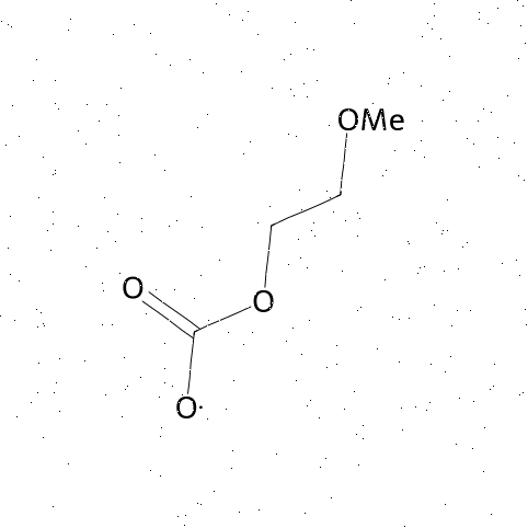 [CH2]OCCOC([O])=O